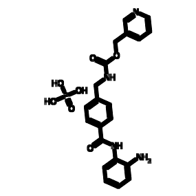 Nc1ccccc1NC(=O)c1ccc(CNC(=O)OCc2cccnc2)cc1.O=P(O)(O)O